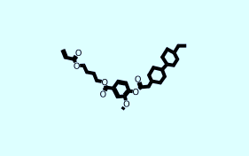 C=CC(=O)OCCCCOC(=O)c1ccc(OC(=O)CC2CCC(C3CCC(CC)CC3)CC2)c(OC)c1